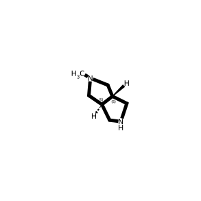 CN1C[C@@H]2CNC[C@H]2C1